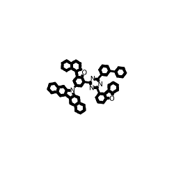 c1ccc(-c2cccc(-c3nc(-c4cc(-n5c6cc7ccccc7cc6c6cc7ccccc7cc65)cc5c4oc4ccc6ccccc6c45)nc(-c4cccc5oc6ccccc6c45)n3)c2)cc1